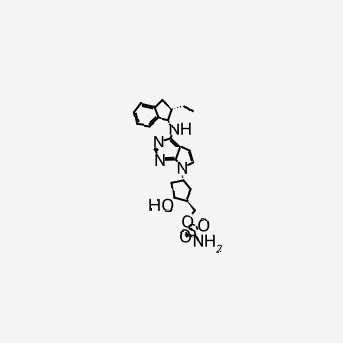 CC[C@H]1Cc2ccccc2[C@H]1Nc1ncnc2c1ccn2[C@@H]1C[C@@H](COS(N)(=O)=O)[C@@H](O)C1